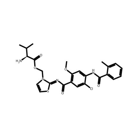 COc1cc(NC(=O)c2ccccc2C)c(Cl)cc1C(=O)/N=c1\sccn1COC(=O)[C@@H](N)C(C)C